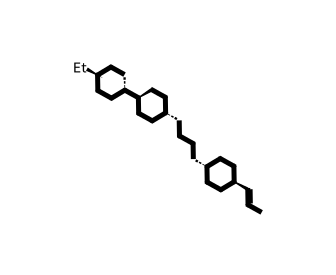 CC=C[C@H]1CC[C@H](CCCC[C@H]2CC[C@H]([C@H]3CC[C@H](CC)CC3)CC2)CC1